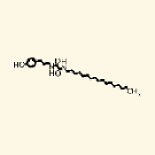 CCCCCCCCCCCCCCCCCNC(=O)C(=O)NCCCc1ccc(O)cc1